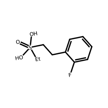 CCS(=O)(O)(O)CCc1ccccc1F